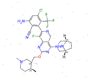 C[C@H]1CCN(C)C[C@@]1(C)COc1nc(N2C[C@H]3CC[C@@H](C2)N3)c2cnc(-c3c(C#N)c(N)cc(Cl)c3C(F)(F)F)c(F)c2n1